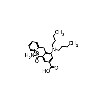 CCCCN(CCCC)c1cc(C(=O)O)cc(S(N)(=O)=O)c1Cc1ccccn1